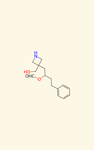 O=COC(CCc1ccccc1)CC1(CO)CNC1